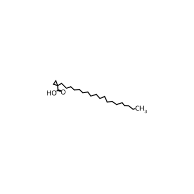 CCCCCCCCCCCCCCCCCCCC1(C(=O)O)CC1